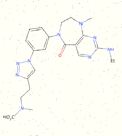 CCNc1ncc2c(n1)N(C)CCN(c1cccc(-n3cc(CCN(C)C(=O)O)nn3)c1)C2=O